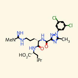 CNC(=N)NCCC[C@H](NC(=O)c1nc(C)n(-c2cc(Cl)cc(Cl)c2)n1)C(=O)N[C@H](CC(C)C)C(=O)O